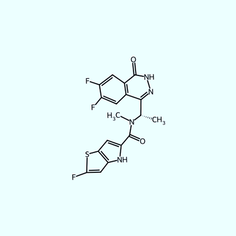 C[C@@H](c1n[nH]c(=O)c2cc(F)c(F)cc12)N(C)C(=O)c1cc2sc(F)cc2[nH]1